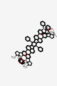 CC1CCC2c3cc(-c4ccc5c6c(-c7ccccc7)c7c8ccc(-c9ccc%10c(c9)C9CCC(C)C9(C)N%10c9ccccc9)c9c(-c%10ccc%11c(c%10)C%10CCC(C)C%10(C)N%11c%10ccccc%10)ccc(c7c(-c7ccccc7)c6c6ccc(-c7ccc%10c(c7)C7CCC(C)C7(C)N%10c7ccccc7)c4c56)c98)ccc3N(c3ccccc3)C12C